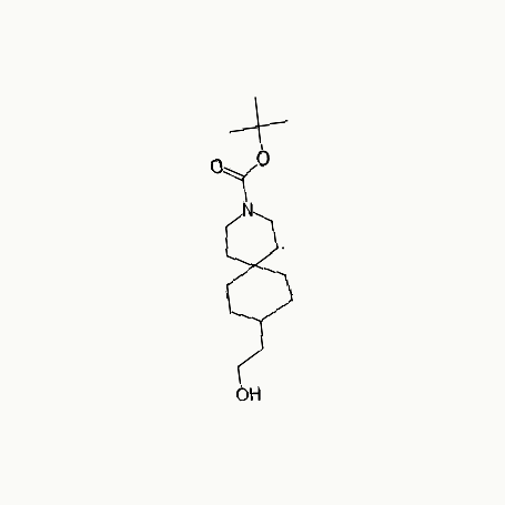 CC(C)(C)OC(=O)N1C[CH]C2(CCC(CCO)CC2)CC1